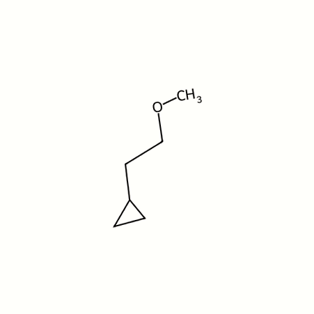 COCCC1CC1